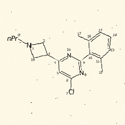 CCCN1CC(c2cc(Cl)nc(-c3c(C)cccc3C)n2)C1